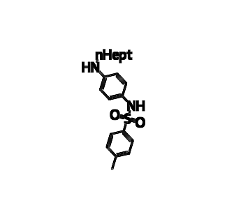 CCCCCCCNc1ccc(NS(=O)(=O)c2ccc(C)cc2)cc1